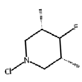 C[C@@H]1CN(Cl)C[C@H](C)C1F